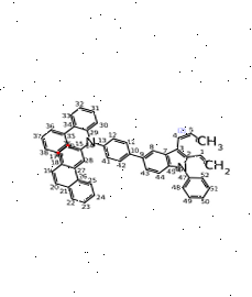 C=Cc1c(/C=C\C)c2cc(-c3ccc(N(c4ccc5ccc6ccccc6c5c4)c4ccccc4-c4ccccc4)cc3)ccc2n1-c1ccccc1